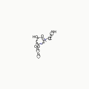 C/C(=C\c1cccc(N2CCNCC2)c1)[C@H]1OC(=O)C[C@H](O)CC[C@H](C)[C@@H](OC(=O)N2CCC(N3CCCCC3)CC2)/C=C/[C@@H]1C